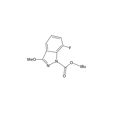 COc1nn(C(=O)OC(C)(C)C)c2c(F)cccc12